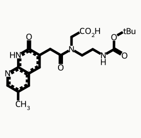 Cc1cnc2[nH]c(=O)c(CC(=O)N(CCNC(=O)OC(C)(C)C)CC(=O)O)cc2c1